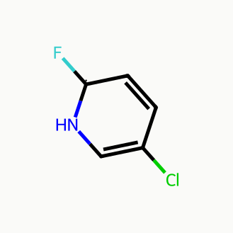 F[C]1C=CC(Cl)=CN1